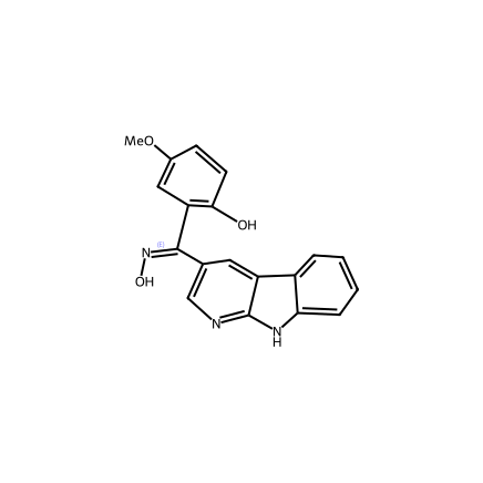 COc1ccc(O)c(/C(=N/O)c2cnc3[nH]c4ccccc4c3c2)c1